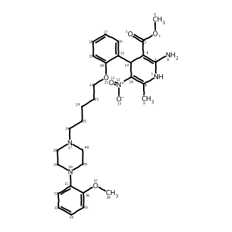 COC(=O)C1=C(N)NC(C)=C([N+](=O)[O-])C1c1ccccc1OCCCCCN1CCN(c2ccccc2OC)CC1